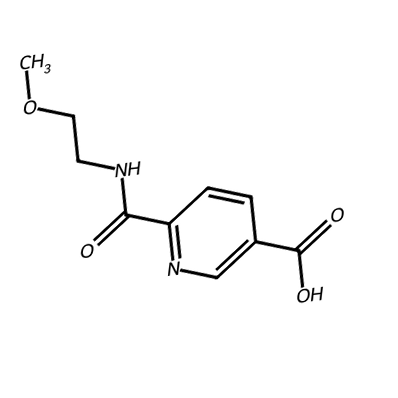 COCCNC(=O)c1ccc(C(=O)O)cn1